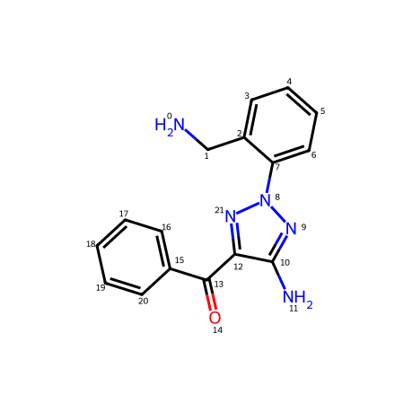 NCc1ccccc1-n1nc(N)c(C(=O)c2ccccc2)n1